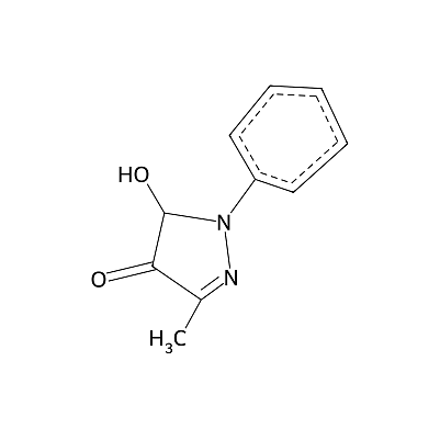 CC1=NN(c2ccccc2)C(O)C1=O